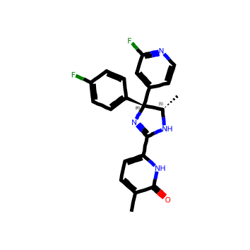 Cc1ccc(C2=N[C@](c3ccc(F)cc3)(c3ccnc(F)c3)[C@H](C)N2)[nH]c1=O